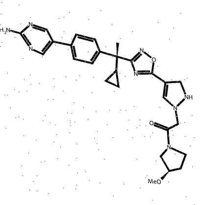 CO[C@@H]1CCN(C(=O)CN2C=C(c3nc([C@@](C)(c4ccc(-c5cnc(N)nc5)cc4)C4CC4)no3)CN2)C1